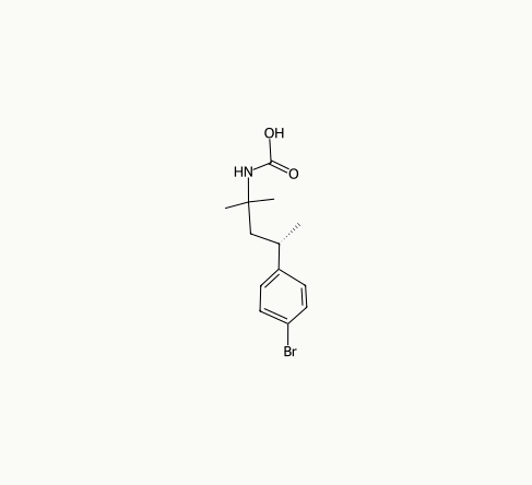 C[C@@H](CC(C)(C)NC(=O)O)c1ccc(Br)cc1